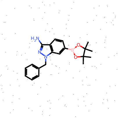 CC1(C)OB(c2ccc3c(N)nn(Cc4ccccc4)c3c2)OC1(C)C